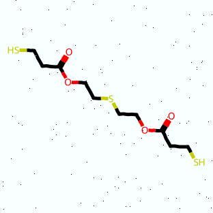 O=C(CCS)OCCSCCOC(=O)CCS